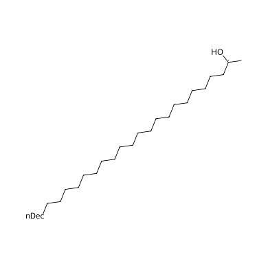 CCCCCCCCCCCCCCCCCCCCCCCCCCCCCC[C](C)O